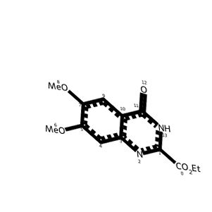 CCOC(=O)c1nc2cc(OC)c(OC)cc2c(=O)[nH]1